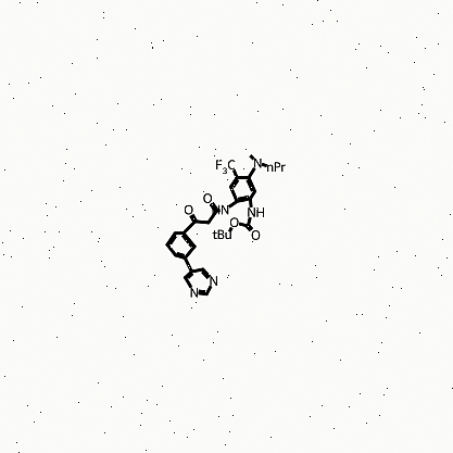 CCCN(C)c1cc(NC(=O)OC(C)(C)C)c(NC(=O)CC(=O)c2cccc(-c3cncnc3)c2)cc1C(F)(F)F